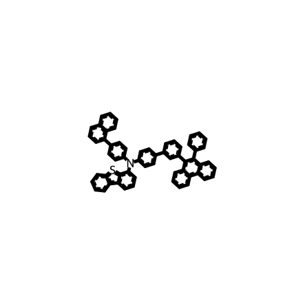 c1ccc(-c2c(-c3cccc(-c4ccc(N(c5ccc(-c6cccc7ccccc67)cc5)c5cccc6c5sc5ccccc56)cc4)c3)c3ccccc3c3ccccc23)cc1